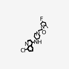 C[C@@H]1C[C@H](F)CN1C(=O)CN1CCC(Nc2ccnc3c(Cl)cccc23)CC1